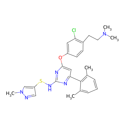 Cc1cccc(C)c1-c1cc(Oc2ccc(CCN(C)C)c(Cl)c2)nc(NSc2cnn(C)c2)n1